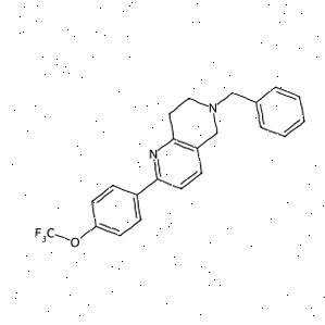 FC(F)(F)Oc1ccc(-c2ccc3c(n2)CCN(Cc2ccccc2)C3)cc1